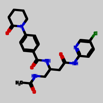 CC(=O)NCC(CC(=O)Nc1ccc(Cl)cn1)NC(=O)c1ccc(N2CCCCC2=O)cc1